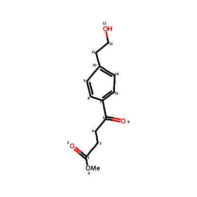 COC(=O)CCC(=O)c1ccc(CCO)cc1